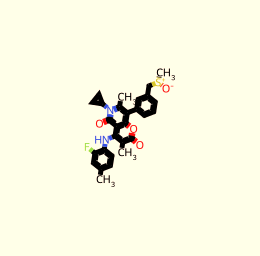 Cc1ccc(Nc2c(C)c(=O)oc3c(-c4cccc(C[S+](C)[O-])c4)c(C)n(C4CC4)c(=O)c23)c(F)c1